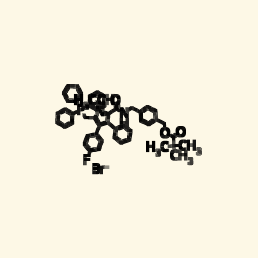 CC(C)n1c(C[P+](c2ccccc2)(c2ccccc2)c2ccccc2)c(-c2ccc(F)cc2)c(-c2ccccc2)c1C(=O)NCc1ccc(COC(=O)C(C)(C)C)cc1.[Br-]